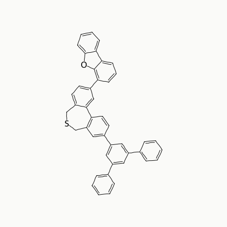 c1ccc(-c2cc(-c3ccccc3)cc(-c3ccc4c(c3)CSCc3ccc(-c5cccc6c5oc5ccccc56)cc3-4)c2)cc1